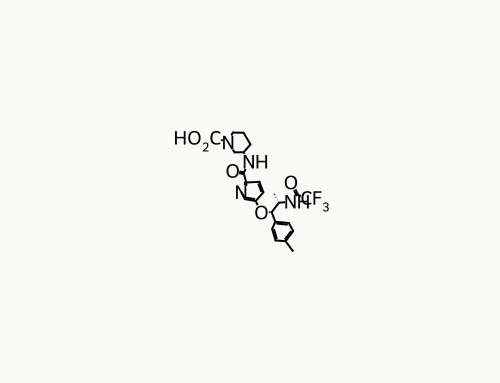 Cc1ccc([C@H](Oc2ccc(C(=O)N[C@H]3CCCN(C(=O)O)C3)nc2)[C@H](C)NC(=O)C(F)(F)F)cc1